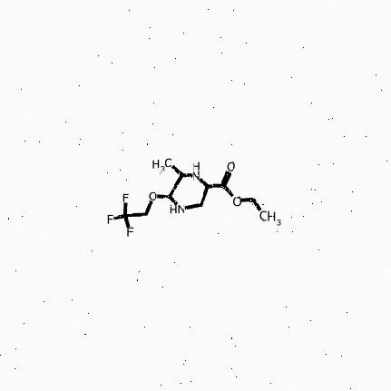 CCOC(=O)C1CNC(OCC(F)(F)F)C(C)N1